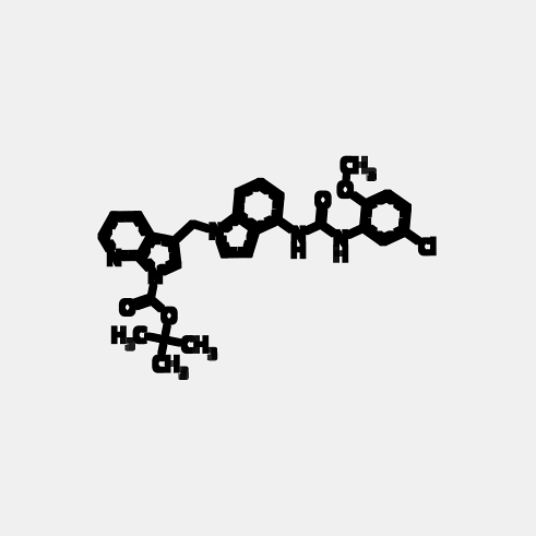 COc1ccc(Cl)cc1NC(=O)Nc1cccc2c1ccn2Cc1cn(C(=O)OC(C)(C)C)c2ncccc12